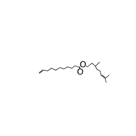 C=CCCCCCCCCC(=O)OCCC(C)CCC=C(C)C